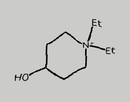 CC[N+]1(CC)CCC(O)CC1